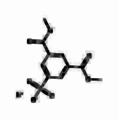 COC(=O)c1cc(C(=O)OC)cc(S(=O)(=O)[O-])c1.[Li+]